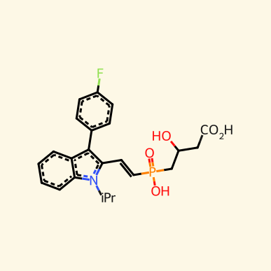 CC(C)n1c(/C=C/P(=O)(O)CC(O)CC(=O)O)c(-c2ccc(F)cc2)c2ccccc21